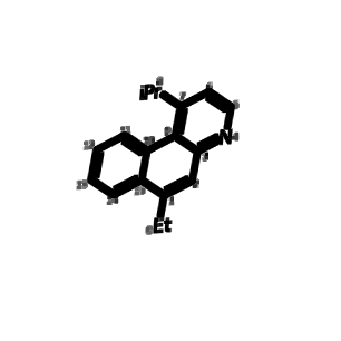 CCc1cc2nccc(C(C)C)c2c2ccccc12